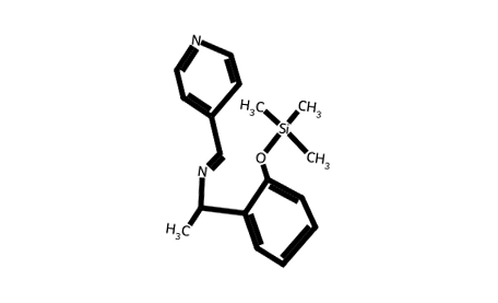 CC(/N=C/c1ccncc1)c1ccccc1O[Si](C)(C)C